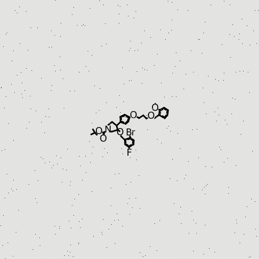 COc1ccccc1COCCCOc1ccc(C2CCN(C(=O)OC(C)(C)C)CC2OCc2cc(F)ccc2Br)cc1